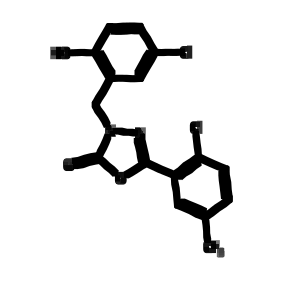 O=c1oc(-c2cc(C(F)(F)F)ccc2Cl)nn1Cc1cc(Cl)ccc1O